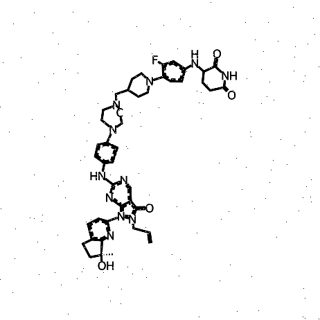 C=CCn1c(=O)c2cnc(Nc3ccc(N4CCN(CC5CCN(c6ccc(NC7CCC(=O)NC7=O)cc6F)CC5)CC4)cc3)nc2n1-c1ccc2c(n1)[C@@](C)(O)CC2